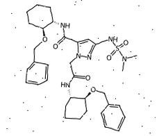 CN(C)S(=O)(=O)Nc1cc(C(=O)N[C@H]2CCCC[C@@H]2OCc2ccccc2)n(CC(=O)N[C@H]2CCCC[C@@H]2OCc2ccccc2)n1